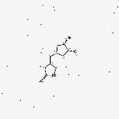 O=C1NCC(CN2C[C@@H](O)[C@@H](O)C2)O1